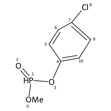 CO[PH](=O)Oc1ccc(Cl)cc1